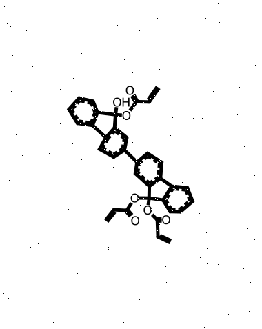 C=CC(=O)OC1(O)c2ccccc2-c2ccc(-c3ccc4c(c3)C(OC(=O)C=C)(OC(=O)C=C)c3ccccc3-4)cc21